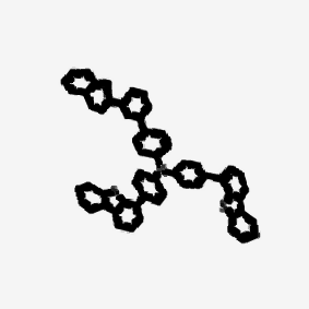 c1cc(-c2ccc(N(c3ccc(-c4cccc5c4sc4ccccc45)cc3)c3ccc(-c4cccc5c4sc4ccccc45)cc3)cc2)cc(-c2ccc3ccccc3c2)c1